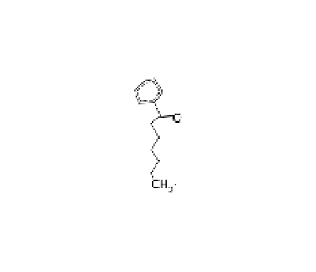 [CH2]CCCCCC(=O)c1ccccc1